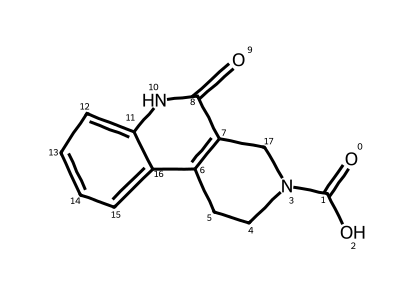 O=C(O)N1CCc2c(c(=O)[nH]c3ccccc23)C1